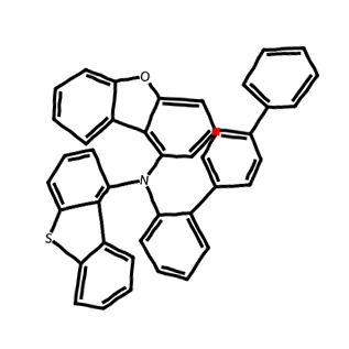 c1ccc(-c2ccc(-c3ccccc3N(c3cccc4oc5ccccc5c34)c3cccc4sc5ccccc5c34)cc2)cc1